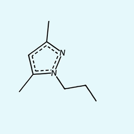 CCCn1nc(C)cc1C